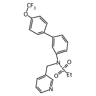 CCS(=O)(=O)N(Cc1cccnc1)c1cccc(-c2ccc(OC(F)(F)F)cc2)c1